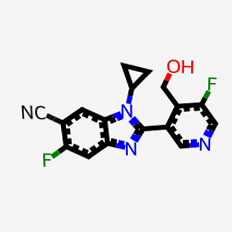 N#Cc1cc2c(cc1F)nc(-c1cncc(F)c1CO)n2C1CC1